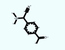 CC(=O)c1ccc(C(C#N)N(C)C)cc1